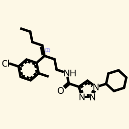 CCC/C=C(/CCNC(=O)c1cn(C2CCCCC2)nn1)c1cc(Cl)ccc1C